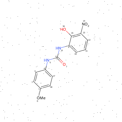 COc1ccc(NC(=O)Nc2cccc([N+](=O)[O-])c2O)cc1